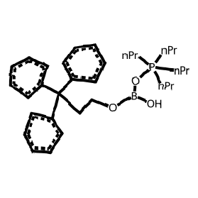 CCCP(CCC)(CCC)(CCC)OB(O)OCCC(c1ccccc1)(c1ccccc1)c1ccccc1